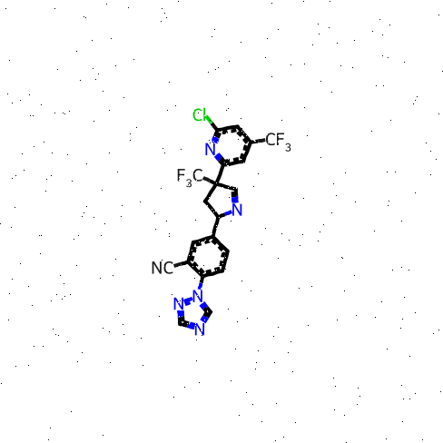 N#Cc1cc(C2CC(c3cc(C(F)(F)F)cc(Cl)n3)(C(F)(F)F)C=N2)ccc1-n1cncn1